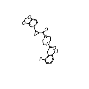 O=C(Cc1c(F)cccc1Cl)N1CCN(C(=O)C2CC2c2ccc3c(c2)OCO3)CC1